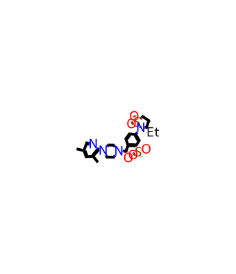 CC[C@@H]1CCS(=O)(=O)N1c1ccc(C(=O)N2CCN(c3ncc(C)cc3C)CC2)c(S(C)(=O)=O)c1